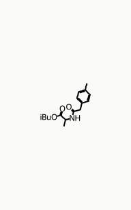 Cc1ccc(CC(=O)NC(C)C(=O)OCC(C)C)cc1